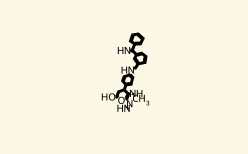 CN/C(=C\N=N)C(CC(=O)O)c1ccc(NCc2cccc(C(=N)c3ccccc3)c2)cc1